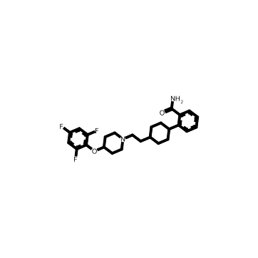 NC(=O)c1ccccc1C1CCC(CCN2CCC(Oc3c(F)cc(F)cc3F)CC2)CC1